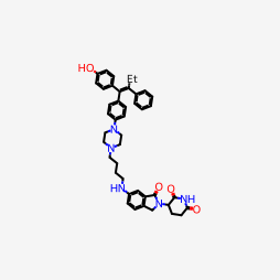 CCC(=C(c1ccc(O)cc1)c1ccc(N2CCN(CCCCNc3ccc4c(c3)C(=O)N(C3CCC(=O)NC3=O)C4)CC2)cc1)c1ccccc1